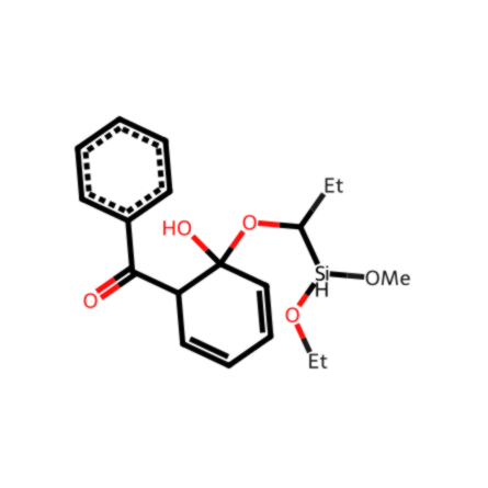 CCO[SiH](OC)C(CC)OC1(O)C=CC=CC1C(=O)c1ccccc1